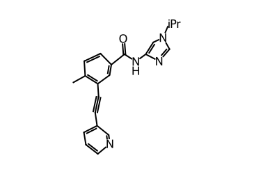 Cc1ccc(C(=O)Nc2cn(C(C)C)cn2)cc1C#Cc1cccnc1